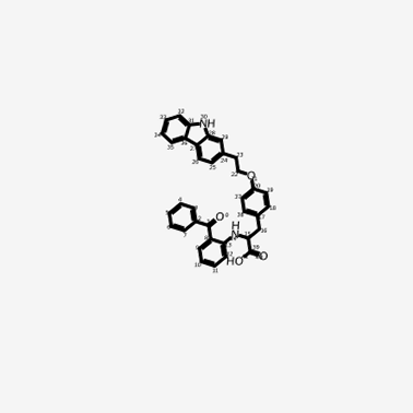 O=C(c1ccccc1)c1ccccc1NC(Cc1ccc(OCCc2ccc3c(c2)[nH]c2ccccc23)cc1)C(=O)O